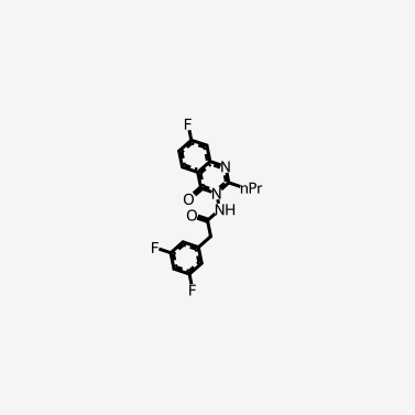 CCCc1nc2cc(F)ccc2c(=O)n1NC(=O)Cc1cc(F)cc(F)c1